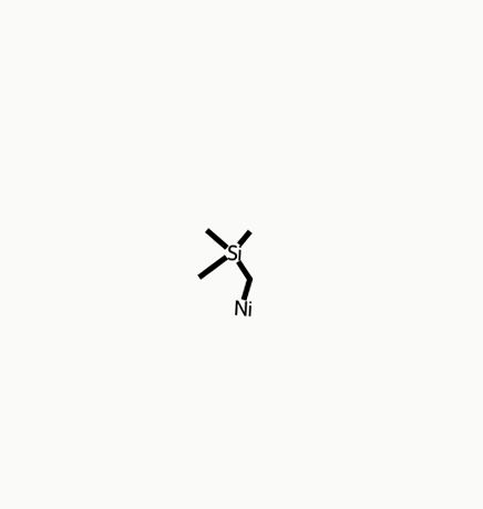 C[Si](C)(C)[CH2][Ni]